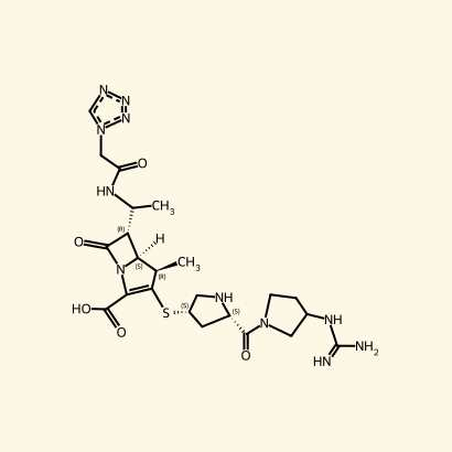 CC(NC(=O)Cn1cnnn1)[C@H]1C(=O)N2C(C(=O)O)=C(S[C@@H]3CN[C@H](C(=O)N4CCC(NC(=N)N)C4)C3)[C@H](C)[C@H]12